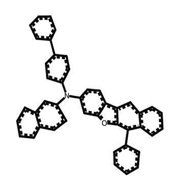 c1ccc(-c2ccc(N(c3ccc4ccccc4c3)c3ccc4c(c3)oc3c(-c5ccccc5)c5ccccc5cc34)cc2)cc1